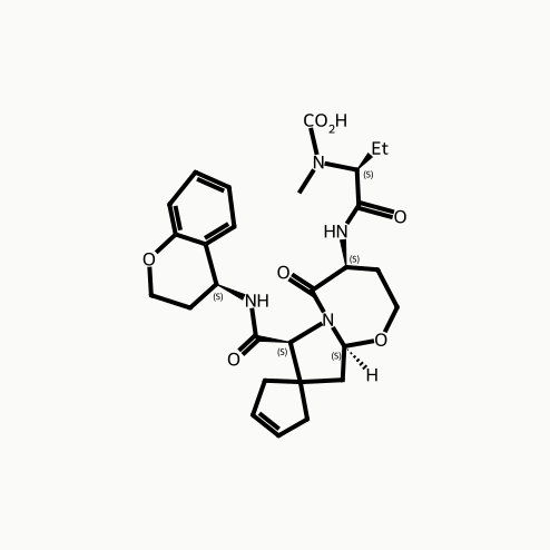 CC[C@@H](C(=O)N[C@H]1CCO[C@H]2CC3(CC=CC3)[C@@H](C(=O)N[C@H]3CCOc4ccccc43)N2C1=O)N(C)C(=O)O